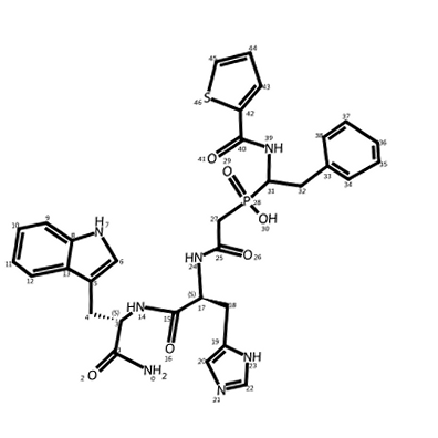 NC(=O)[C@H](Cc1c[nH]c2ccccc12)NC(=O)[C@H](Cc1cnc[nH]1)NC(=O)CP(=O)(O)C(Cc1ccccc1)NC(=O)c1cccs1